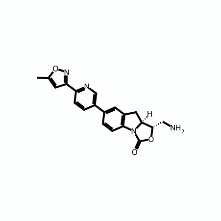 Cc1cc(-c2ccc(-c3ccc4c(c3)C[C@H]3[C@H](CN)OC(=O)N43)cn2)no1